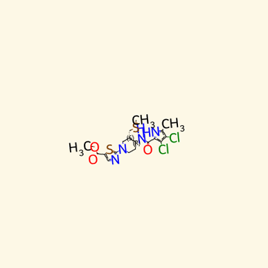 COC(=O)c1cnc(N2CC[C@@H](NC(=O)c3[nH]c(C)c(Cl)c3Cl)[C@@H](CSC)C2)s1